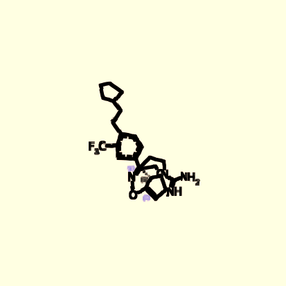 N=C(N)N1CCC[C@H]1/C1=C\CCC/C(c2ccc(CCC3CCCC3)c(C(F)(F)F)c2)=N\O1